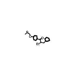 CCC(Cc1ccccc1)C(=O)c1ccc(OCN(C)C)cc1